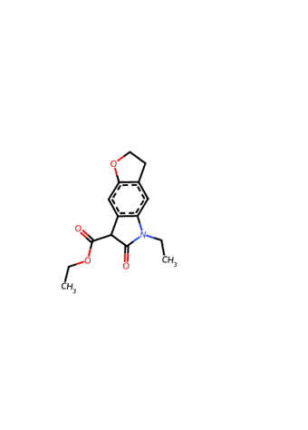 CCOC(=O)C1C(=O)N(CC)c2cc3c(cc21)OCC3